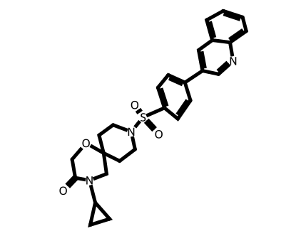 O=C1COC2(CCN(S(=O)(=O)c3ccc(-c4cnc5ccccc5c4)cc3)CC2)CN1C1CC1